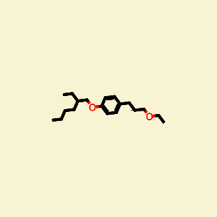 CCCCC(CC)COc1ccc(C[CH]COCC)cc1